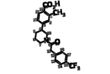 Cc1cc(C2CCCN(C(=O)Cc3ccc(C(F)(F)F)cc3)C2)ccc1C(=O)O